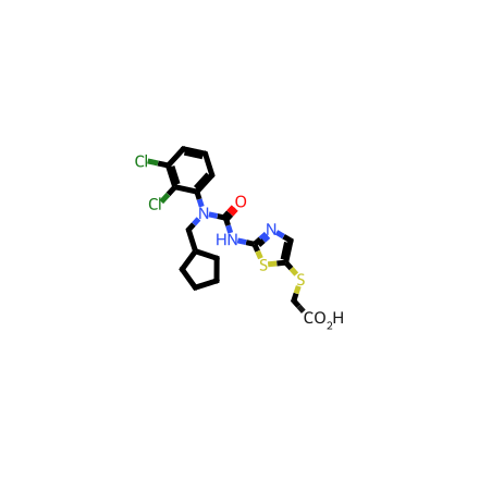 O=C(O)CSc1cnc(NC(=O)N(CC2CCCC2)c2cccc(Cl)c2Cl)s1